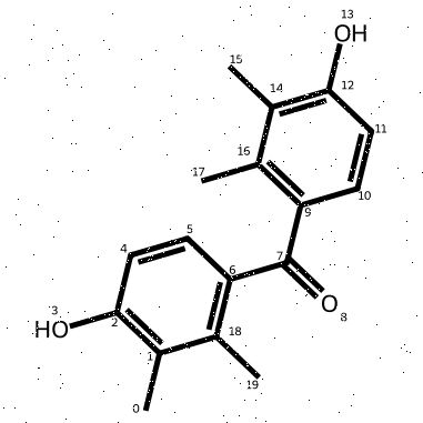 Cc1c(O)ccc(C(=O)c2ccc(O)c(C)c2C)c1C